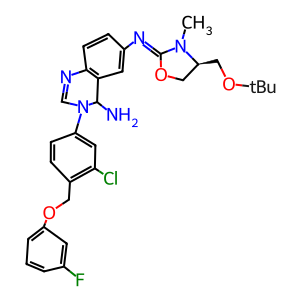 CN1C(=Nc2ccc3c(c2)C(N)N(c2ccc(COc4cccc(F)c4)c(Cl)c2)C=N3)OC[C@@H]1COC(C)(C)C